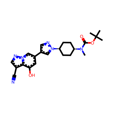 CN(C(=O)OC(C)(C)C)[C@H]1CC[C@@H](n2cc(-c3cc(O)c4c(C#N)cnn4c3)cn2)CC1